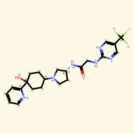 O=C(CNc1ncc(C(F)(F)F)cn1)N[C@@H]1CCN(C2CCC(O)(c3ccccn3)CC2)C1